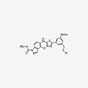 CC(=O)Nc1cc(CSC(C)=O)cc(-c2nnc(Nc3ccc4c(cnn4C(=O)OC(C)(C)C)c3Cl)s2)c1